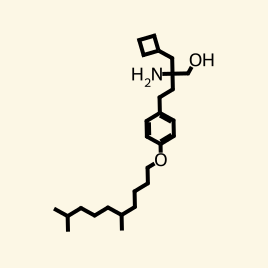 CC(C)CCCC(C)CCCCOc1ccc(CCC(N)(CO)CC2CCC2)cc1